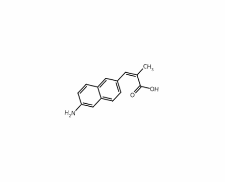 CC(=Cc1ccc2cc(N)ccc2c1)C(=O)O